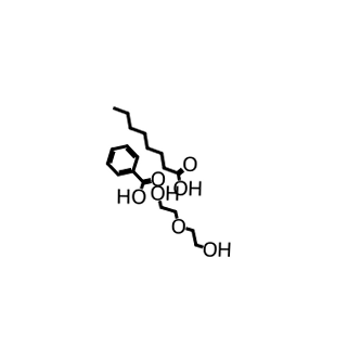 CCCCCCCC(=O)O.O=C(O)c1ccccc1.OCCOCCO